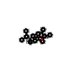 N#Cc1ccc2c(c1)C1(c3cc(C#N)ccc3-2)c2cc(N(c3ccccc3)c3cc(-c4ccccc4)cc(-c4ccccc4)c3)ccc2-c2ccc(N(c3ccccc3)c3cc(-c4ccccc4)cc(-c4ccccc4)c3)cc21